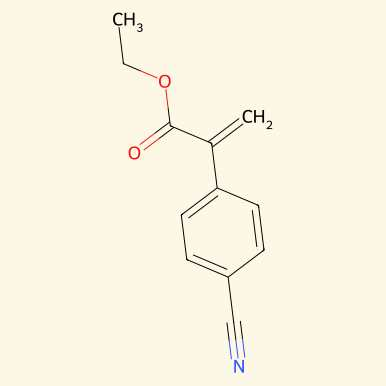 C=C(C(=O)OCC)c1ccc(C#N)cc1